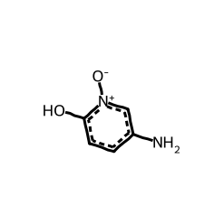 Nc1ccc(O)[n+]([O-])c1